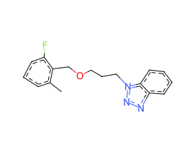 Cc1cccc(F)c1COCCCn1nnc2ccccc21